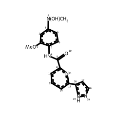 COc1cc(N(C)O)ccc1NC(=O)c1cccc(-c2ccn[nH]2)n1